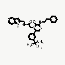 CC(C)(C)c1cccc(-c2cnc(NCCc3ccccc3)c(=O)n2CC(=O)NCc2cc3cnccc3[nH]2)c1